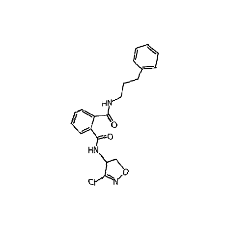 O=C(NCCCc1ccccc1)c1ccccc1C(=O)NC1CON=C1Cl